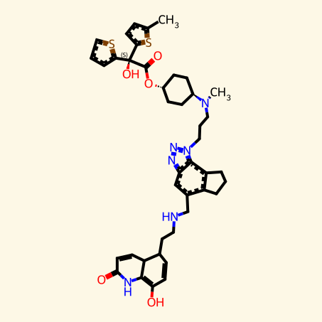 Cc1ccc([C@](O)(C(=O)O[C@H]2CC[C@H](N(C)CCCn3nnc4cc(CNCCC5C=CC(O)=C6NC(=O)C=CC65)c5c(c43)CCC5)CC2)c2cccs2)s1